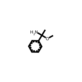 COC(C)(N)c1ccccc1